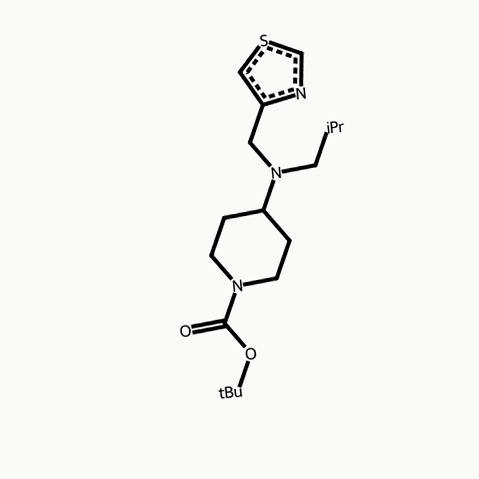 CC(C)CN(Cc1cscn1)C1CCN(C(=O)OC(C)(C)C)CC1